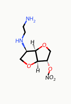 NCCN[C@@H]1CO[C@H]2[C@@H]1OC[C@@H]2O[N+](=O)[O-]